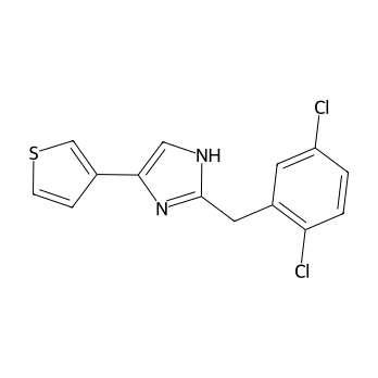 Clc1ccc(Cl)c(Cc2nc(-c3ccsc3)c[nH]2)c1